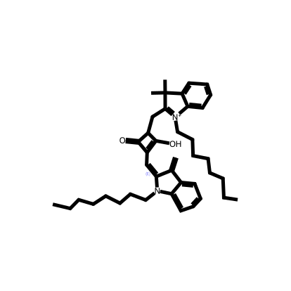 C=c1/c(=C\C2=C(O)C(CC3=[N+](CCCCCCCC)c4ccccc4C3(C)C)C2=O)n(CCCCCCCC)c2ccccc12